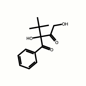 CC(C)(C)C(O)(C(=O)CO)C(=O)c1ccccc1